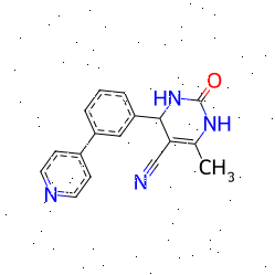 CC1=C(C#N)C(c2cccc(-c3ccncc3)c2)NC(=O)N1